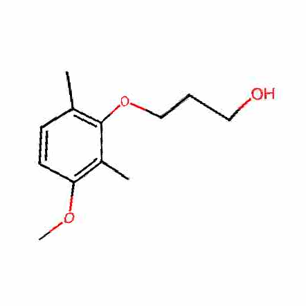 COc1ccc(C)c(OCCCO)c1C